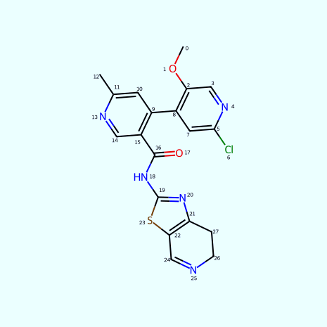 COc1cnc(Cl)cc1-c1cc(C)ncc1C(=O)Nc1nc2c(s1)C=NCC2